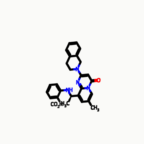 Cc1cc([C@@H](C)Nc2ccccc2C(=O)O)c2nc(N3CCc4ccccc4C3)cc(=O)n2c1